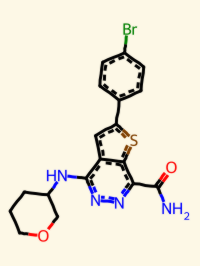 NC(=O)c1nnc(NC2CCCOC2)c2cc(-c3ccc(Br)cc3)sc12